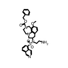 COc1ccc(CC(CN2CCCN(C(=O)OCc3ccccc3)CC2)N(CCN)S(=O)(=O)c2cccc3cnccc23)cc1